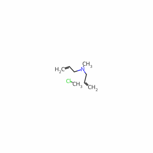 C=CCN(C)CC=C.CCl